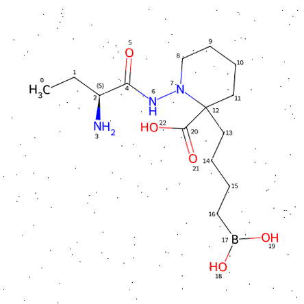 CC[C@H](N)C(=O)NN1CCCCC1(CCCCB(O)O)C(=O)O